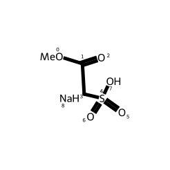 COC(=O)CS(=O)(=O)O.[NaH]